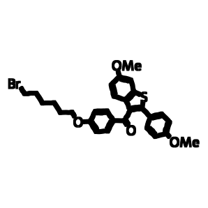 COc1ccc(-c2sc3cc(OC)ccc3c2C(=O)c2ccc(OCCCCCCBr)cc2)cc1